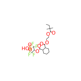 CCC(C)(C)C(=O)OCCOC(=O)C1CCCCC1C(=O)OC(C(F)(F)F)C(F)(F)S(=O)(=O)O